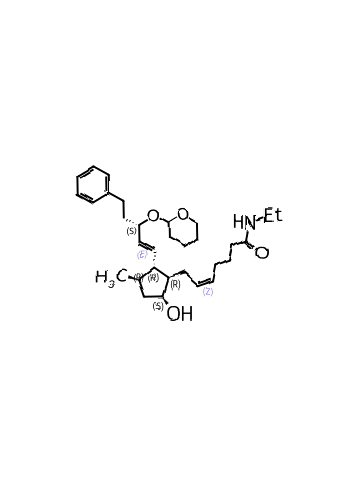 CCNC(=O)CCC/C=C\C[C@@H]1[C@@H](/C=C/[C@H](CCc2ccccc2)OC2CCCCO2)[C@H](C)C[C@@H]1O